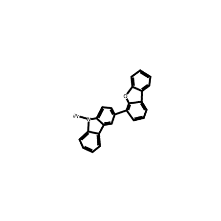 CC(C)n1c2ccccc2c2cc(-c3cccc4c3oc3ccccc34)ccc21